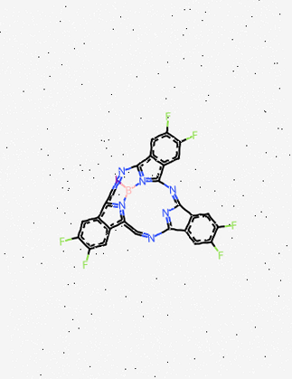 Fc1cc2c(cc1F)/C1=N/c3c4cc(F)c(F)cc4c4n3B(I)n3c(c5cc(F)c(F)cc5c3=N4)=C=NC2=N1